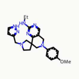 CCNc1ncc2c(n1)C1(CCN(Cc3cc[nH]n3)C1)CN(c1ccc(OC)cc1)C2